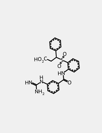 N=C(N)Nc1cccc(C(=O)Nc2ccccc2S(=O)(=O)C(CC(=O)O)c2ccccc2)c1